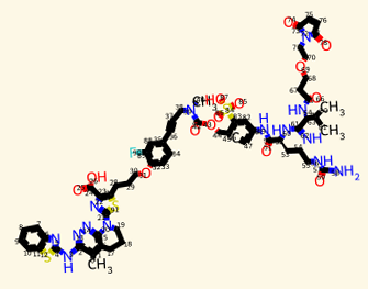 Cc1c(Nc2nc3ccccc3s2)nnc2c1CCCN2c1nc(C(=O)O)c(CCCOc2ccc(C#CCN(C)C(=O)OCc3ccc(NC(=O)[C@H](CCCNC(N)=O)NC(=N)[C@@H](NC(=O)CCOCCN4C(=O)C=CC4=O)C(C)C)cc3S(=O)(=O)O)cc2F)s1